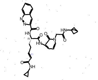 O=C(/C=C/CC[C@H](NC(=O)c1cc2ccccc2nn1)C(=O)Nc1cccn(CC(=O)NC23CC(C2)C3)c1=O)NC1CC1